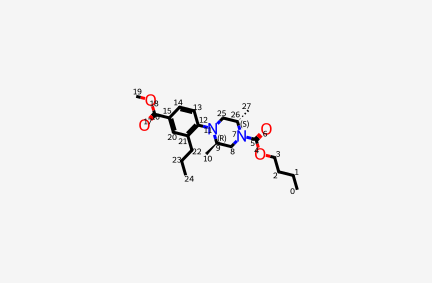 CCCCOC(=O)N1C[C@@H](C)N(c2ccc(C(=O)OC)cc2CCC)C[C@@H]1C